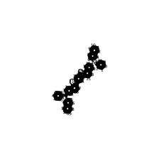 c1ccc(N(c2ccc3ccccc3c2)c2ccc3c(ccc4c5cc6c(cc5oc34)oc3c4ccc(N(c5ccccc5)c5ccc7ccccc7c5)cc4ccc63)c2)cc1